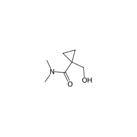 CN(C)C(=O)C1(CO)CC1